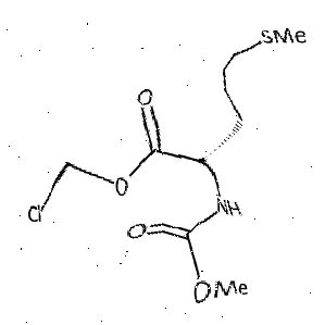 COC(=O)N[C@@H](CCSC)C(=O)OCCl